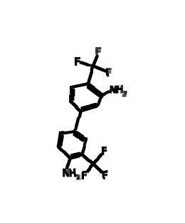 Nc1cc(-c2ccc(N)c(C(F)(F)F)c2)ccc1C(F)(F)F